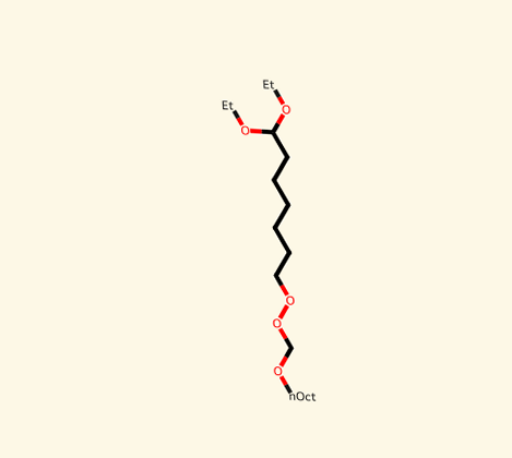 CCCCCCCCOCOOCCCCCCC(OCC)OCC